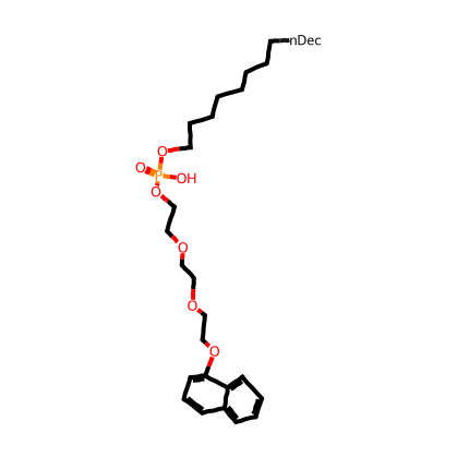 CCCCCCCCCCCCCCCCCCOP(=O)(O)OCCOCCOCCOc1cccc2ccccc12